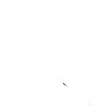 O=C(COc1ccccc1)N[C@@H]1CNC1=O